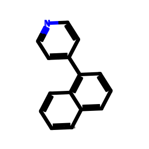 [c]1cccc2c(-c3ccncc3)cccc12